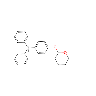 c1ccc([SiH](c2ccccc2)c2ccc(OC3CCCCO3)cc2)cc1